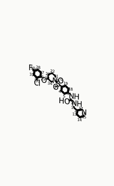 O=S(=O)(c1ccc(NC(O)NCc2cccnc2)cc1)N1CCCC(Oc2ccc(F)cc2Cl)C1